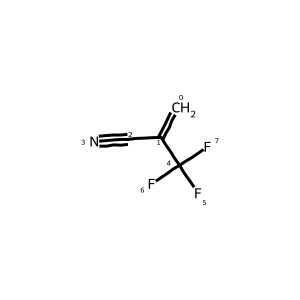 C=C(C#N)C(F)(F)F